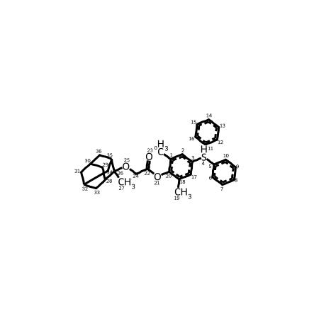 Cc1cc([SH](c2ccccc2)c2ccccc2)cc(C)c1OC(=O)COC1(C)C2CC3CC(C2)CC1C3